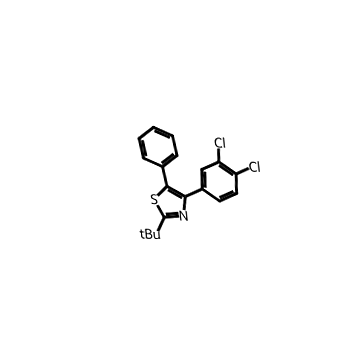 CC(C)(C)c1nc(-c2ccc(Cl)c(Cl)c2)c(-c2ccccc2)s1